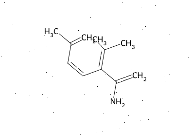 C=C(C)/C=C\C(C(=C)N)=C(C)C